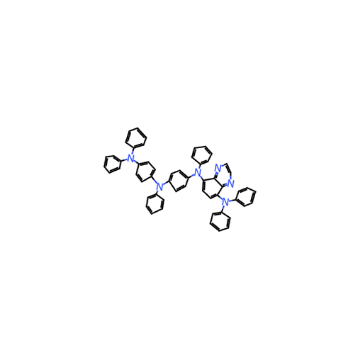 c1ccc(N(c2ccccc2)c2ccc(N(c3ccccc3)c3ccc(N(c4ccccc4)c4ccc(N(c5ccccc5)c5ccccc5)c5nccnc45)cc3)cc2)cc1